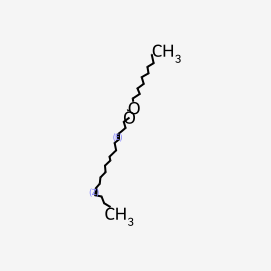 CCCC/C=C\CCCCCCCC/C=C/CCOCOCCCCCCCCCC